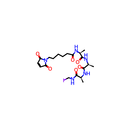 C[C@H](NC(=O)CCCCCN1C(=O)C=CC1=O)C(=O)N[C@@H](C)C(=O)N[C@@H](C)C(=O)NCI